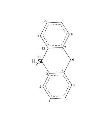 c1ccc2c(c1)Cc1ccccc1[SiH2]2